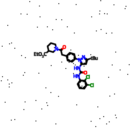 CCOC(=O)C1CCCN(C(=O)Cc2ccc(-n3nc(C(C)(C)C)cc3NC(=O)Nc3cccc(Cl)c3Cl)cc2)C1